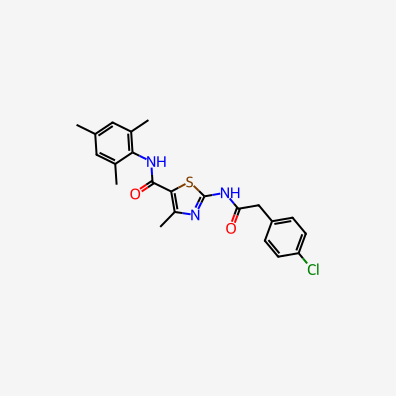 Cc1cc(C)c(NC(=O)c2sc(NC(=O)Cc3ccc(Cl)cc3)nc2C)c(C)c1